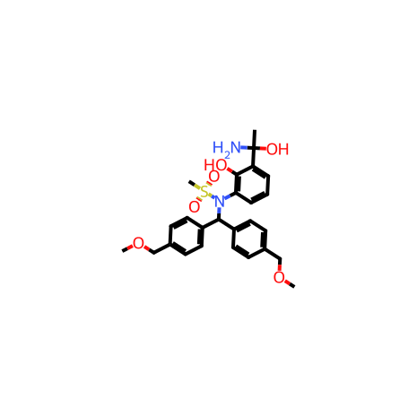 COCc1ccc(C(c2ccc(COC)cc2)N(c2cccc(C(C)(N)O)c2O)S(C)(=O)=O)cc1